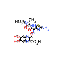 C[C@H]1[C@H](NC(=O)/C(=N\OCc2nc3cc(O)c(O)cc3nc2C(=O)O)c2csc(N)n2)C(=O)N1S(=O)(=O)O